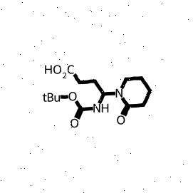 CC(C)(C)OC(=O)NC(CCC(=O)O)N1CCCCC1=O